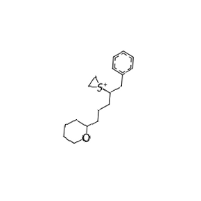 c1ccc(CC(CCCC2CCCCO2)[S+]2CC2)cc1